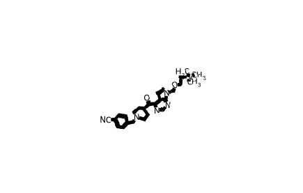 C[Si](C)(C)CCOCn1ccc2c(C(=O)C3CCN(Cc4ccc(C#N)cc4)CC3)ncnc21